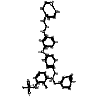 Cc1c(NS(C)(=O)=O)cccc1N(Cc1ccccc1)Cc1ccc(Oc2cccc(OCCN3CCOCC3)c2)cc1